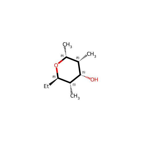 CC[C@H]1O[C@H](C)[C@H](C)[C@H](O)[C@@H]1C